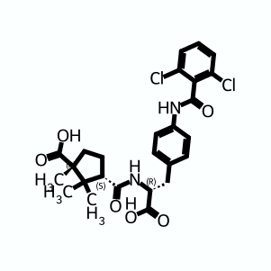 CC1(C)[C@@H](C(=O)N[C@H](Cc2ccc(NC(=O)c3c(Cl)cccc3Cl)cc2)C(=O)O)CC[C@@]1(C)C(=O)O